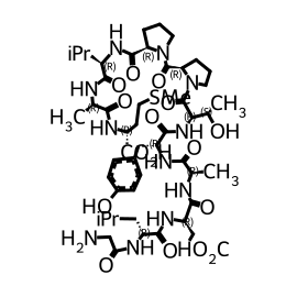 CSCC[C@@H](NC(=O)[C@@H](C)NC(=O)[C@H](NC(=O)[C@H]1CCCN1C(=O)[C@H]1CCCN1C(=O)[C@H](NC(=O)[C@@H](Cc1ccc(O)cc1)NC(=O)[C@@H](C)NC(=O)[C@@H](CC(=O)O)NC(=O)[C@@H](CC(C)C)NC(=O)CN)[C@H](C)O)C(C)C)C(=O)O